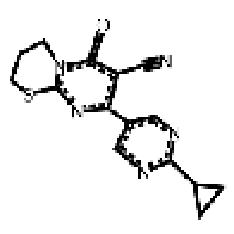 N#Cc1c(-c2cnc(C3CC3)nc2)nc2n(c1=O)CCCS2